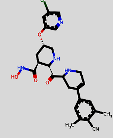 Cc1cc(C2=CCNC(C(=O)[C@H]3NC[C@@H](Oc4cncc(Cl)c4)C[C@@H]3C(=O)NO)C2)cc(C)c1C#N